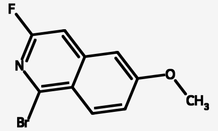 COc1ccc2c(Br)nc(F)cc2c1